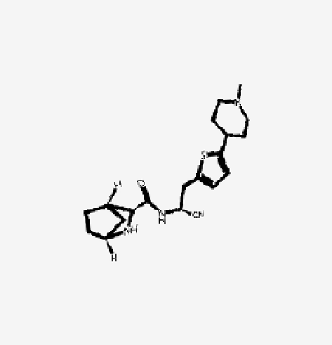 CN1CCC(c2ccc(C[C@@H](C#N)NC(=O)[C@H]3N[C@@H]4CC[C@H]3C4)s2)CC1